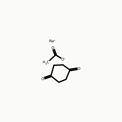 CC(=O)[O-].O=C1CCC(=O)CC1.[Na+]